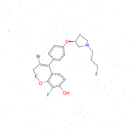 Oc1ccc2c(c1F)OCCC(Br)=C2c1ccc(O[C@H]2CCN(CCCF)C2)cc1